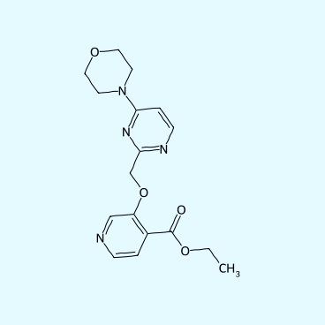 CCOC(=O)c1ccncc1OCc1nccc(N2CCOCC2)n1